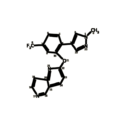 Cn1cc(-c2ccc(C(F)(F)F)cc2Oc2ccc3cnccc3n2)cn1